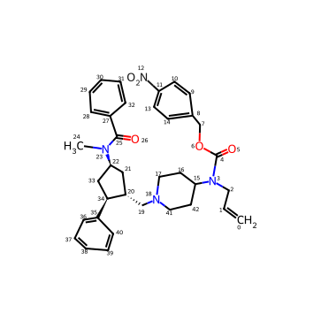 C=CCN(C(=O)OCc1ccc([N+](=O)[O-])cc1)C1CCN(C[C@H]2C[C@H](N(C)C(=O)c3ccccc3)C[C@@H]2c2ccccc2)CC1